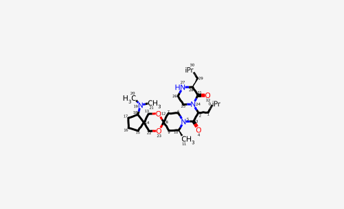 CC(C)CC(C(=O)N1CCC2(C[C@@H]1C)OCC1(CCCC1N(C)C)CO2)N1CCN[C@@H](CC(C)C)C1=O